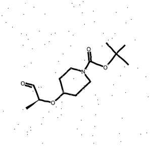 C[C@@H](C=O)OC1CCN(C(=O)OC(C)(C)C)CC1